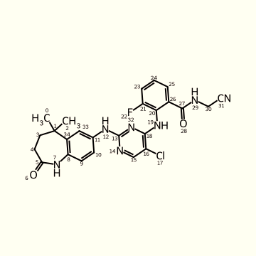 CC1(C)CCC(=O)Nc2ccc(Nc3ncc(Cl)c(Nc4c(F)cccc4C(=O)NCC#N)n3)cc21